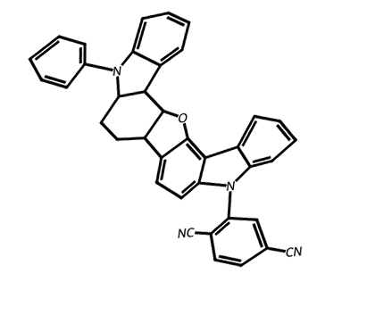 N#Cc1ccc(C#N)c(-n2c3ccccc3c3c4c(ccc32)C2CCC3C(c5ccccc5N3c3ccccc3)C2O4)c1